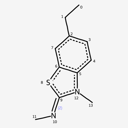 CCc1ccc2c(c1)s/c(=N\C)n2C